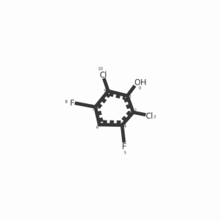 Oc1c(Cl)c(F)cc(F)c1Cl